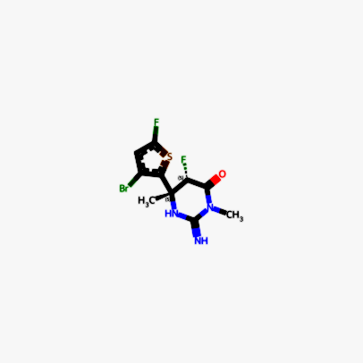 CN1C(=N)N[C@](C)(c2sc(F)cc2Br)[C@H](F)C1=O